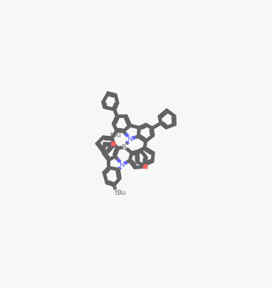 CC(C)(C)c1ccc2c3ccc(C(C)(C)C)c4c3n(c2c1)-c1ccccc1B4n1c2c(-c3ccccc3)cc(-c3ccccc3)cc2c2cc(-c3ccccc3)cc(-c3ccccc3)c21